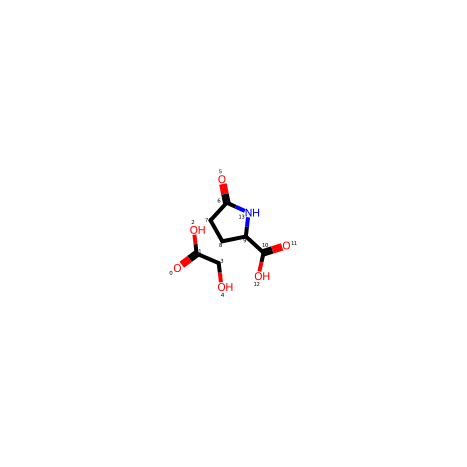 O=C(O)CO.O=C1CCC(C(=O)O)N1